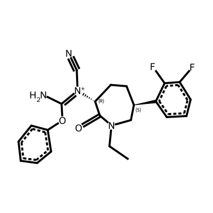 CCN1C[C@H](c2cccc(F)c2F)CC[C@@H]([N+](C#N)=C(N)Oc2ccccc2)C1=O